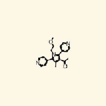 COCCn1c(-c2ccncc2)c(C)c(C(C)=O)c1-c1ccncc1